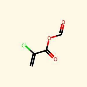 C=C(Cl)C(=O)OC=O